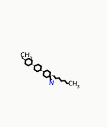 CCCCCCC[C@]1(C#N)CC[C@H](C2CCC([C@H]3CC[C@H](CC)CC3)CC2)CC1